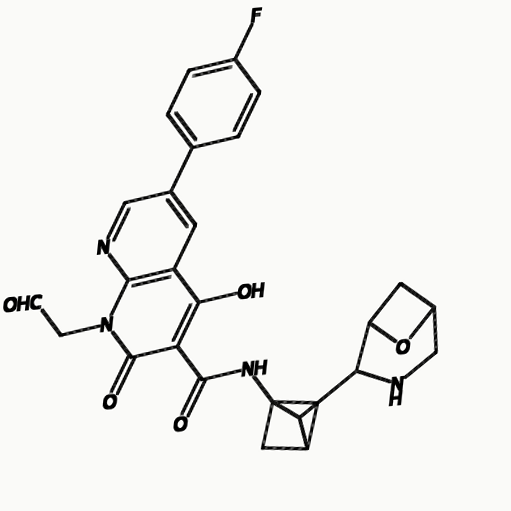 O=CCn1c(=O)c(C(=O)NC23CC(C2)C3C2NCC3CC2O3)c(O)c2cc(-c3ccc(F)cc3)cnc21